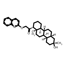 C[C@@]1(O)CC[C@H]2[C@H](CC[C@@H]3[C@@H]2CC[C@]2(C)[C@@H](C(=O)COc4ccc5ccccc5n4)CCC[C@@H]32)C1